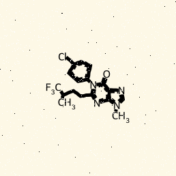 CC(CCc1nc2c(ncn2C)c(=O)n1-c1ccc(Cl)cc1)C(F)(F)F